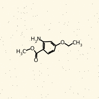 CCOc1ccc(C(=O)OC)c(N)c1